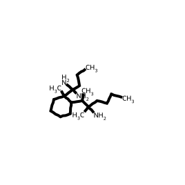 CCCCC(C)(N)C(C)C1CCCCC1(C)C(N)(N)CCC